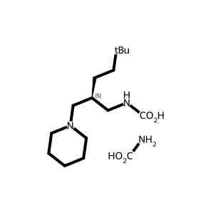 CC(C)(C)CC[C@@H](CNC(=O)O)CN1CCCCC1.NC(=O)O